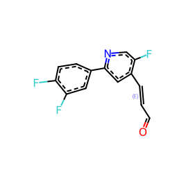 O=C/C=C/c1cc(-c2ccc(F)c(F)c2)ncc1F